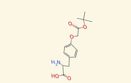 CC(C)(C)OC(=O)COc1ccc(CC(N)C(=O)O)cc1